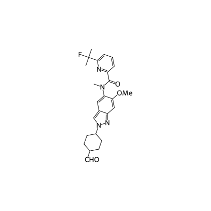 COc1cc2nn(C3CCC(C=O)CC3)cc2cc1N(C)C(=O)c1cccc(C(C)(C)F)n1